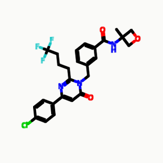 CC1(NC(=O)c2cccc(Cn3c(CCCC(F)(F)F)nc(-c4ccc(Cl)cc4)cc3=O)c2)COC1